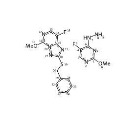 COc1ncc(F)c(NN)n1.COc1ncc(F)c2nc(SCc3ccccc3)nn12